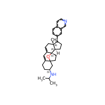 CC(C)N[C@H]1CCC2=CC3=CC[C@]4(C)[C@@H](c5ccc6ccncc6c5)CC[C@H]4[C@@]34CCC2(C1)O4